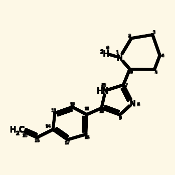 [2H]N1CCCCC1c1ncc(-c2ccc(C=C)cc2)[nH]1